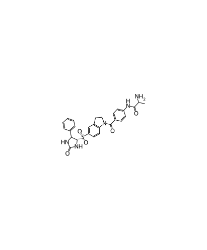 CC(N)C(=O)Nc1ccc(C(=O)N2CCc3cc(S(=O)(=O)[C@@H]4NC(=O)NC4c4ccccc4)ccc32)cc1